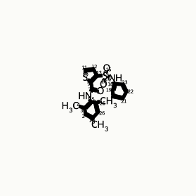 Cc1cc(C)c(NC(=O)c2sccc2S(=O)(=O)Nc2ccccc2)c(C)c1